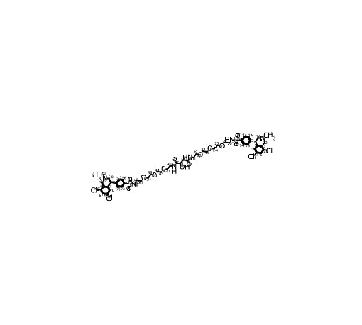 CN1Cc2c(Cl)cc(Cl)cc2[C@H](c2ccc(S(=O)(=O)NCCOCCOCCOCCNC(=O)C[C@H](O)C(=O)NCCOCCOCCOCCNS(=O)(=O)c3ccc([C@@H]4CN(C)Cc5c(Cl)cc(Cl)cc54)cc3)cc2)C1